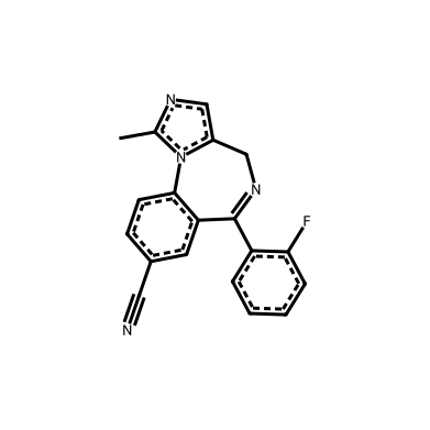 Cc1ncc2n1-c1ccc(C#N)cc1C(c1ccccc1F)=NC2